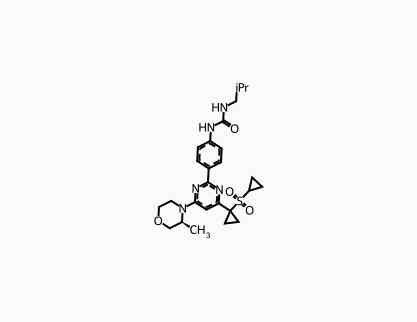 CC(C)CNC(=O)Nc1ccc(-c2nc(N3CCOC[C@@H]3C)cc(C3(S(=O)(=O)C4CC4)CC3)n2)cc1